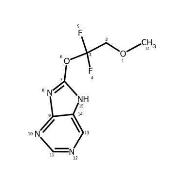 COCC(F)(F)Oc1nc2ncncc2[nH]1